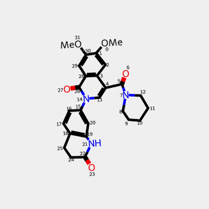 COc1cc2c(C(=O)N3CCCCC3)cn(-c3ccc4c(c3)NC(=O)CC4)c(=O)c2cc1OC